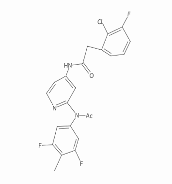 CC(=O)N(c1cc(F)c(C)c(F)c1)c1cc(NC(=O)Cc2cccc(F)c2Cl)ccn1